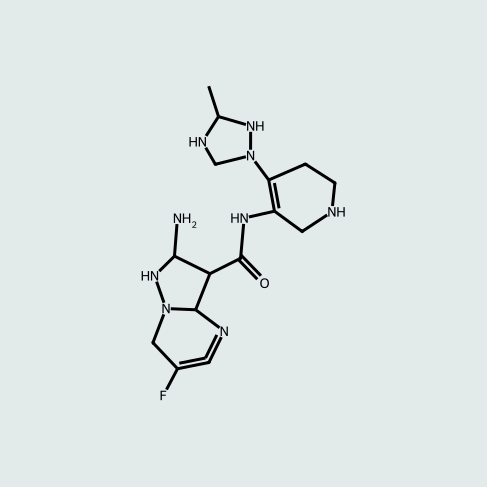 CC1NCN(C2=C(NC(=O)C3C(N)NN4CC(F)=C=NC34)CNCC2)N1